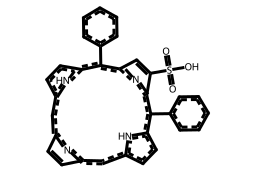 O=S(=O)(O)C1=Cc2nc1c(-c1ccccc1)c1ccc(cc3nc(cc4ccc([nH]4)c2-c2ccccc2)C=C3)[nH]1